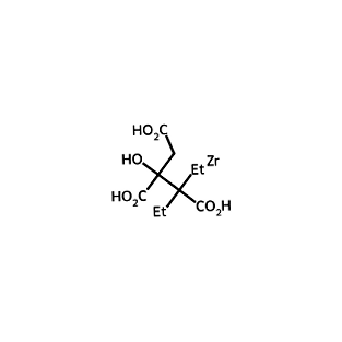 CCC(CC)(C(=O)O)C(O)(CC(=O)O)C(=O)O.[Zr]